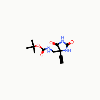 C#CC1(CNC(=O)OC(C)(C)C)NC(=O)NC1=O